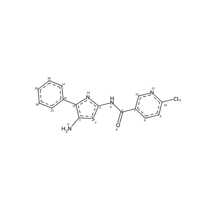 Nc1sc(NC(=O)c2ccc(Cl)nc2)nc1-c1ccccc1